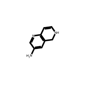 Nc1cnc2c(c1)CNC=C2